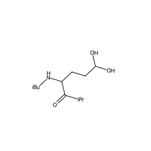 CCC(C)NC(CCC(O)O)C(=O)C(C)C